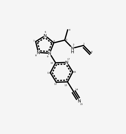 C=CNC(C)c1ncnn1-c1ccc(C#N)cn1